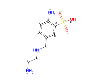 NCCNCc1ccc(N)c(S(=O)(=O)O)c1